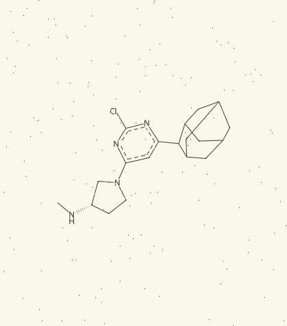 CN[C@H]1CCN(c2cc(C3C4CC5CC(C4)CC3C5)nc(Cl)n2)C1